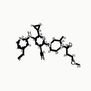 C=Cc1ccnc(Nc2cc(C#N)c(N3CCN(C(=O)CCOC)C(C)C3)nc2C2CC2)c1